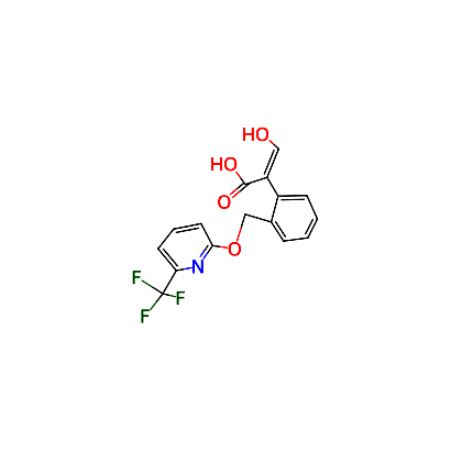 O=C(O)C(=CO)c1ccccc1COc1cccc(C(F)(F)F)n1